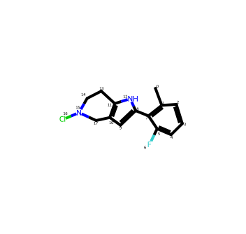 Cc1cccc(F)c1-c1cc2c([nH]1)CCN(Cl)C2